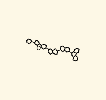 c1ccc(-c2ccc3c(c2)oc2cc(-c4ccc5ccc(-c6ccc7ccc(-c8cc9ccccc9c9ccccc89)cc7c6)cc5c4)ccc23)cc1